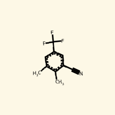 Cc1cc(C(F)(F)F)cc(C#N)c1C